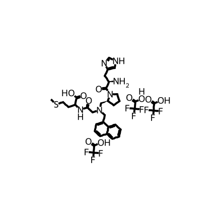 CSCCC(NC(=O)CN(Cc1cccc2ccccc12)C[C@@H]1CCCN1C(=O)[C@H](N)Cc1c[nH]cn1)C(=O)O.O=C(O)C(F)(F)F.O=C(O)C(F)(F)F.O=C(O)C(F)(F)F